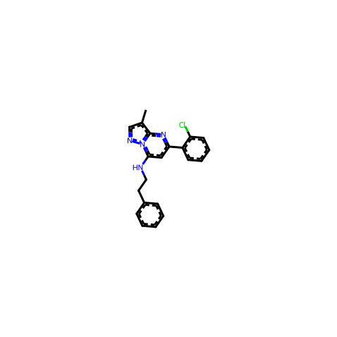 Cc1cnn2c(NCCc3ccccc3)cc(-c3ccccc3Cl)nc12